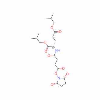 CC(C)COC(=O)CC[C@H](NC(=O)CCC(=O)ON1C(=O)CCC1=O)C(=O)OCC(C)C